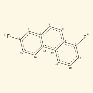 Fc1[c]c2ccc3c(F)[c]ccc3c2cc1